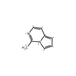 Cc1nccc2cc[c]n12